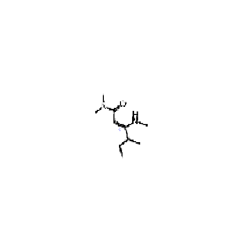 CCC(C)/C(=C/C(=O)N(C)C)NC